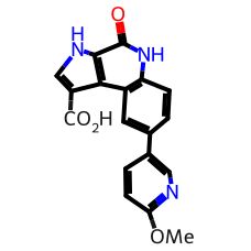 COc1ccc(-c2ccc3[nH]c(=O)c4[nH]cc(C(=O)O)c4c3c2)cn1